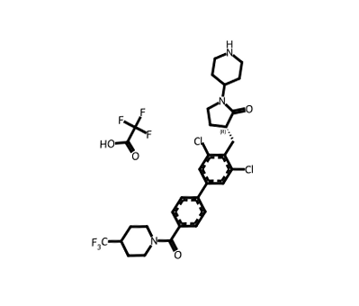 O=C(O)C(F)(F)F.O=C(c1ccc(-c2cc(Cl)c(C[C@@H]3CCN(C4CCNCC4)C3=O)c(Cl)c2)cc1)N1CCC(C(F)(F)F)CC1